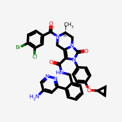 C[C@@H]1Cn2c(c(C(=O)NCc3ccccc3-c3cc(N)cnn3)n(-c3ccc(OC4CC4)cc3)c2=O)CN1C(=O)c1ccc(Br)c(Cl)c1